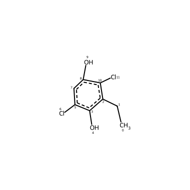 CCc1c(O)c(Cl)cc(O)c1Cl